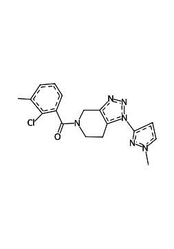 Cc1cccc(C(=O)N2CCc3c(nnn3-c3ccn(C)n3)C2)c1Cl